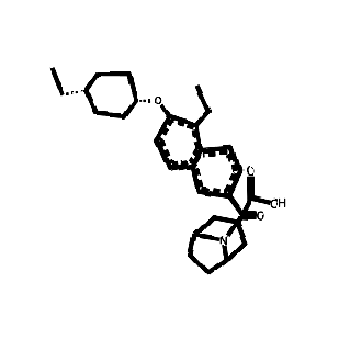 CCc1c(O[C@H]2CC[C@@H](CC)CC2)ccc2cc(C(=O)N3C4CCC3CC(C(=O)O)C4)ccc12